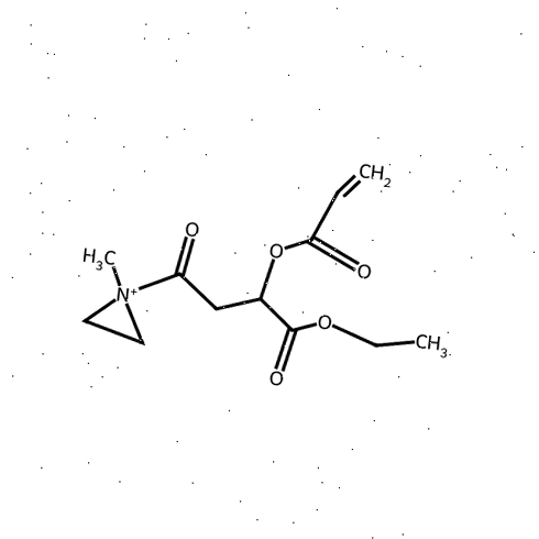 C=CC(=O)OC(CC(=O)[N+]1(C)CC1)C(=O)OCC